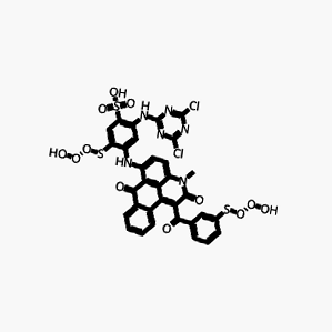 Cn1c(=O)c(C(=O)c2cccc(SOOO)c2)c2c3c(c(Nc4cc(Nc5nc(Cl)nc(Cl)n5)c(S(=O)(=O)O)cc4SOOO)ccc31)C(=O)c1ccccc1-2